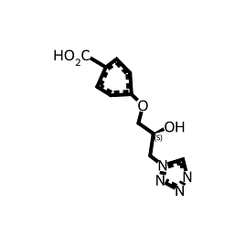 O=C(O)c1ccc(OC[C@@H](O)Cn2cnnn2)cc1